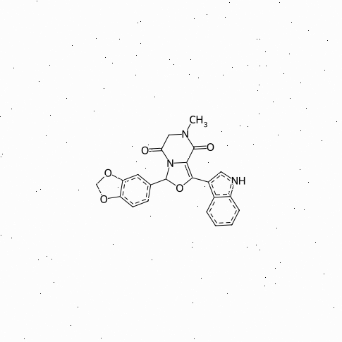 CN1CC(=O)N2C(=C(c3c[nH]c4ccccc34)OC2c2ccc3c(c2)OCO3)C1=O